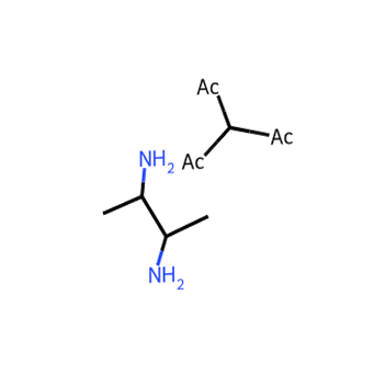 CC(=O)C(C(C)=O)C(C)=O.CC(N)C(C)N